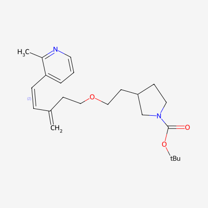 C=C(/C=C\c1cccnc1C)CCOCCC1CCN(C(=O)OC(C)(C)C)C1